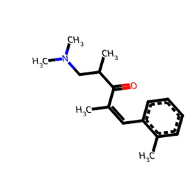 CC(=Cc1ccccc1C)C(=O)C(C)CN(C)C